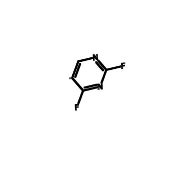 Fc1[c]cnc(F)n1